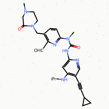 CC(C)Nc1cc(NC(=O)N(C)c2ccc(CN3CCN(C)CC3=O)c(C=O)n2)ncc1C#CC1CC1